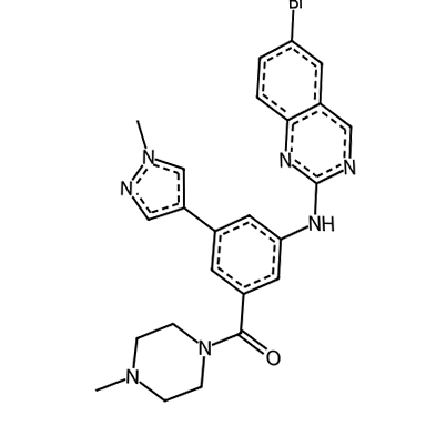 CN1CCN(C(=O)c2cc(Nc3ncc4cc(Br)ccc4n3)cc(-c3cnn(C)c3)c2)CC1